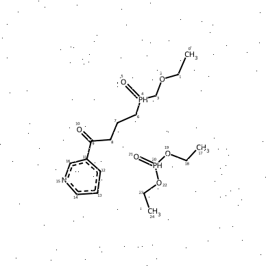 CCOC[PH](=O)CCCC(=O)c1cccnc1.CCO[PH](=O)OCC